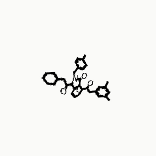 Cc1ccc(CN2C(=O)C3C(C(=O)Cc4cc(C)cc(C)c4)C4C=CC3(O4)C2C(=O)CC2CCCCC2)cc1